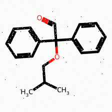 CC(C)COC(C=O)(c1ccccc1)c1ccccc1